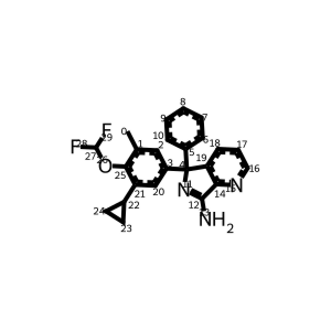 Cc1cc(C2(c3ccccc3)N=C(N)c3ncccc32)cc(C2CC2)c1OC(F)F